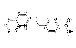 O=C(O)c1ccc(CCc2ccc3ccccc3n2)cc1